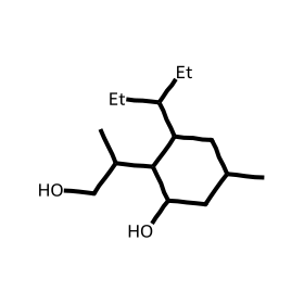 CCC(CC)C1CC(C)CC(O)C1C(C)CO